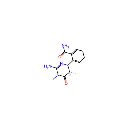 C[C@@H]1C(=O)N(C)C(N)=NC1C1=CC[CH]C=C1C(N)=O